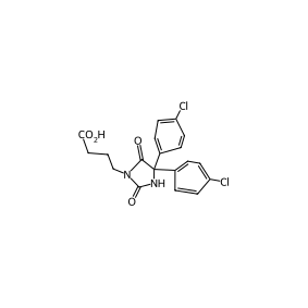 O=C(O)CCCN1C(=O)NC(c2ccc(Cl)cc2)(c2ccc(Cl)cc2)C1=O